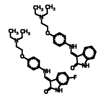 CCN(CC)CCOc1ccc(N/C=C2/C(=O)Nc3cc(F)ccc32)cc1.CCN(CC)CCOc1ccc(N/C=C2/C(=O)Nc3ccccc32)cc1